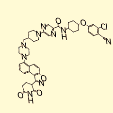 N#Cc1ccc(O[C@H]2CC[C@H](NC(=O)c3cnc(N4CCC(CN5CCN(c6cccc7c6ccc6onc(C8CCC(=O)NC8=O)c67)CC5)CC4)cn3)CC2)cc1Cl